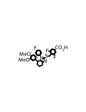 COc1ccc(C2CCCc3nc(SCc4c(F)cc(C(=O)O)cc4F)n(-c4ccc(F)cc4)c32)cc1OC